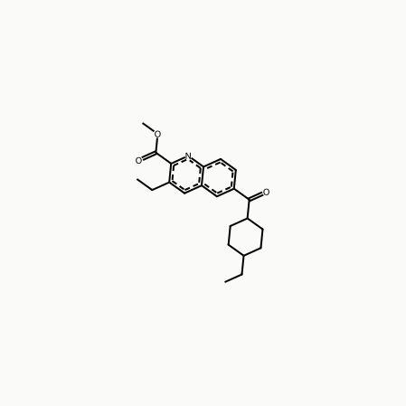 CCc1cc2cc(C(=O)C3CCC(CC)CC3)ccc2nc1C(=O)OC